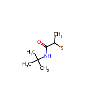 CC([S])C(=O)NC(C)(C)C